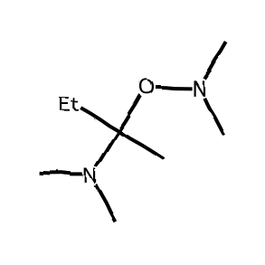 CCC(C)(ON(C)C)N(C)C